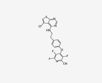 N#Cc1nc(F)c(F)c(Oc2ccc(CCNc3ncnc4scc(Cl)c34)cc2)c1F